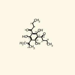 C=C(C)c1c(O)c(C(=O)CCC)c(O)c(C(=O)CCC)c1O